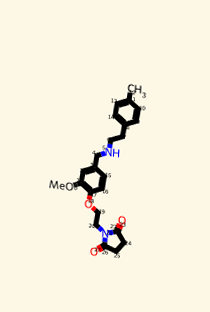 COc1cc(CNCCc2ccc(C)cc2)ccc1OCCN1C(=O)CCC1=O